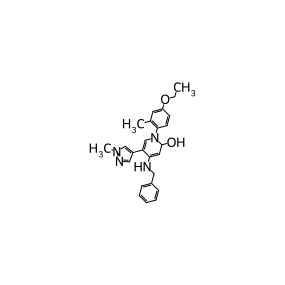 CCOc1ccc(N2C=C(c3cnn(C)c3)C(NCc3ccccc3)=CC2O)c(C)c1